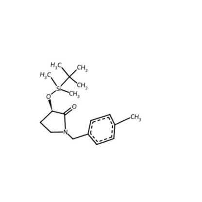 Cc1ccc(CN2CC[C@@H](O[Si](C)(C)C(C)(C)C)C2=O)cc1